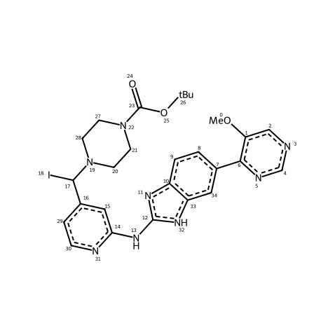 COc1cncnc1-c1ccc2nc(Nc3cc(C(I)N4CCN(C(=O)OC(C)(C)C)CC4)ccn3)[nH]c2c1